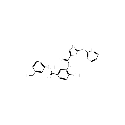 Cc1ccc(C(=O)Nc2cccc(CF)c2)cc1NC(=O)c1cnc(Nc2ccccn2)s1